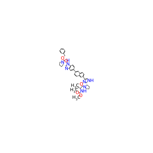 COC(=O)N[C@H](C(=O)N1CCC[C@H]1c1nc(-c2ccc3cc(-c4ccc5[nH]c([C@@H]6CCCN6C(=O)OCc6ccccc6)nc5c4)ccc3c2)c[nH]1)C(C)C